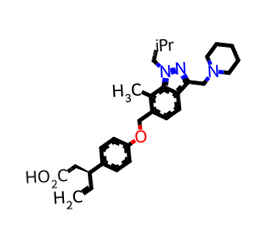 C=C[C@@H](CC(=O)O)c1ccc(OCc2ccc3c(CN4CCCCC4)nn(CC(C)C)c3c2C)cc1